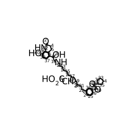 CC(=O)O.O=C1CCc2c([C@@H](O)CNCCCCCCOCCCCc3cccc(S(=O)(=O)C4CCCC4)c3)ccc(O)c2N1